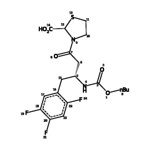 CCCCOC(=O)N[C@@H](CC(=O)N1CCSC1C(=O)O)Cc1cc(F)c(F)cc1F